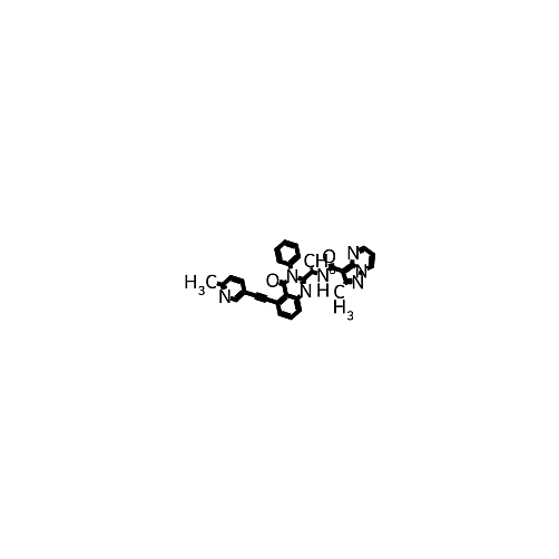 Cc1ccc(C#Cc2cccc3nc([C@@H](C)NC(=O)c4c(C)nn5cccnc45)n(-c4ccccc4)c(=O)c23)cn1